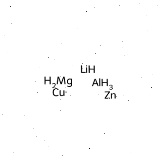 [AlH3].[Cu].[LiH].[MgH2].[Zn]